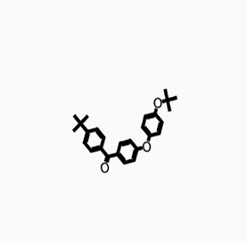 CC(C)(C)Oc1ccc(Oc2ccc(C(=O)c3ccc(C(C)(C)C)cc3)cc2)cc1